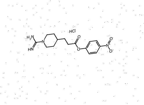 Cl.N=C(N)N1CCC(CCC(=O)Oc2ccc([N+](=O)[O-])cc2)CC1